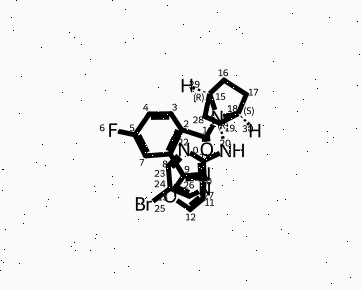 O=C(c1ccc(F)cc1-c1ncco1)N1[C@@H]2CC[C@H]1[C@H](Nc1ncc(Br)cn1)C2